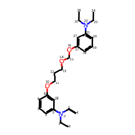 CCN(CC)c1cccc(OCCCOCOc2cccc(N(CC)CC)c2)c1